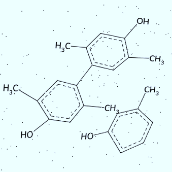 Cc1cc(-c2cc(C)c(O)cc2C)c(C)cc1O.Cc1cccc(O)c1